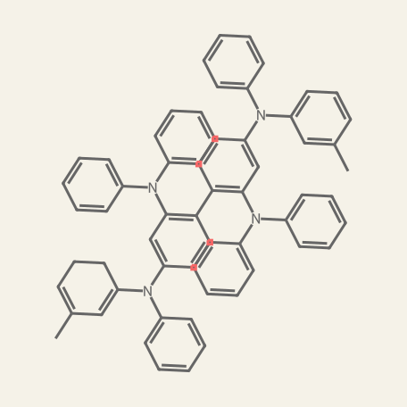 CC1=CCCC(N(c2ccccc2)c2ccc(-c3ccc(N(c4ccccc4)c4cccc(C)c4)cc3N(c3ccccc3)c3ccccc3)c(N(c3ccccc3)c3ccccc3)c2)=C1